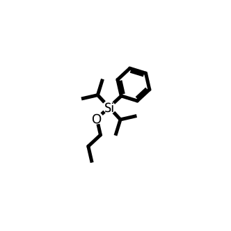 CCCO[Si](c1ccccc1)(C(C)C)C(C)C